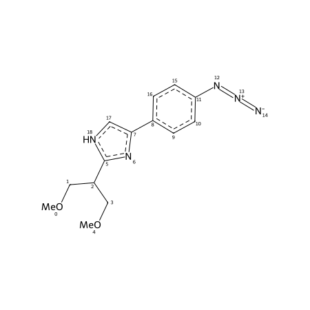 COCC(COC)c1nc(-c2ccc(N=[N+]=[N-])cc2)c[nH]1